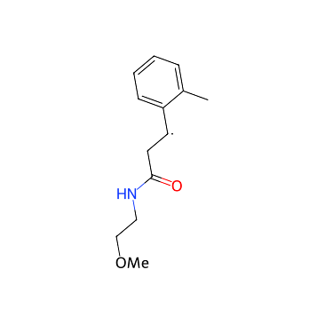 COCCNC(=O)C[CH]c1ccccc1C